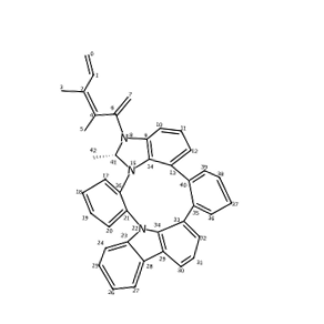 C=C/C(C)=C(/C)C(=C)N1c2cccc3c2N(c2ccccc2-n2c4ccccc4c4cccc(c42)-c2ccccc2-3)[C@@H]1C